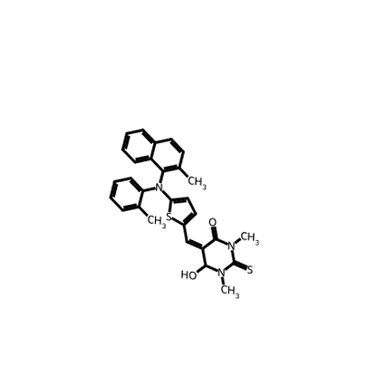 Cc1ccccc1N(c1ccc(/C=C2\C(=O)N(C)C(=S)N(C)C2O)s1)c1c(C)ccc2ccccc12